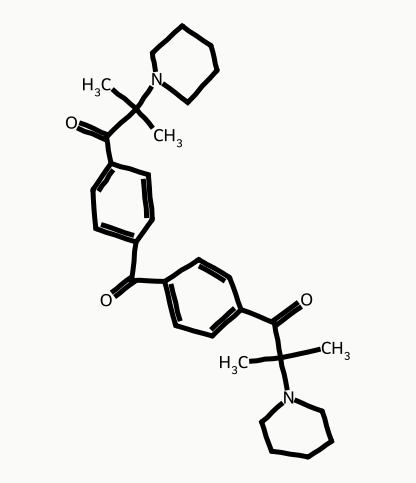 CC(C)(C(=O)c1ccc(C(=O)c2ccc(C(=O)C(C)(C)N3CCCCC3)cc2)cc1)N1CCCCC1